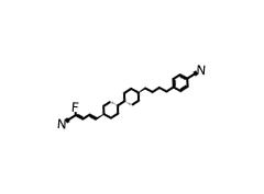 N#CC(F)=CC=C[C@H]1CC[C@H]([C@H]2CC[C@H](CCCCc3ccc(C#N)cc3)CC2)CC1